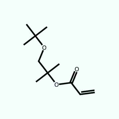 C=CC(=O)OC(C)(C)COC(C)(C)C